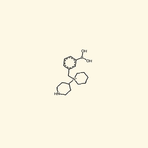 OB(O)c1cccc(C[N+]2(C3CCNCC3)CCCCC2)c1